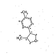 Cc1ccc(C2COCC2C)cc1